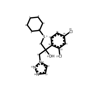 OC(CSC1CCCCC1)(Cn1ccnn1)c1ccc(Cl)cc1Cl